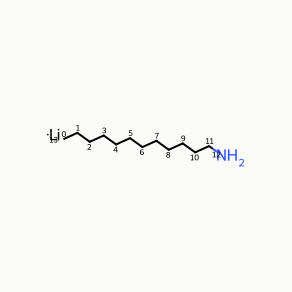 CCCCCCCCCCCCN.[Li]